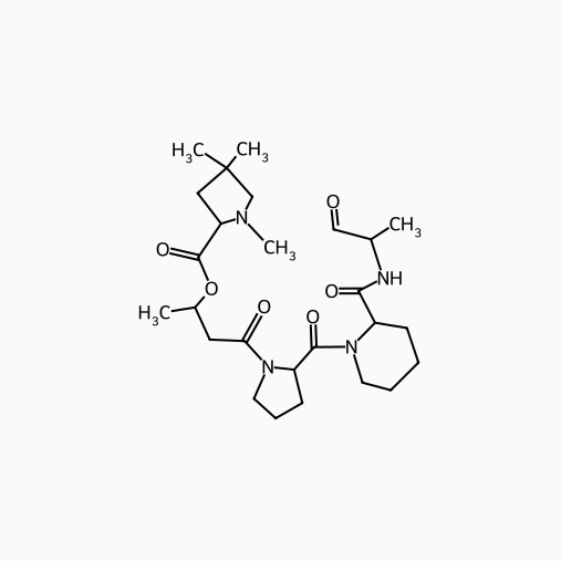 CC(C=O)NC(=O)C1CCCCN1C(=O)C1CCCN1C(=O)CC(C)OC(=O)C1CC(C)(C)CN1C